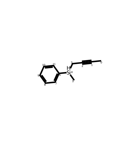 CC#CC[SiH](C)c1ccccc1